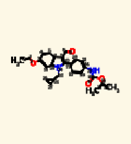 CCOc1ccc2c(C=O)c(-c3ccc(NC(=O)OC(C)C)cc3)n(CC3CC3)c2c1